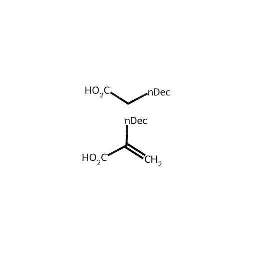 C=C(CCCCCCCCCC)C(=O)O.CCCCCCCCCCCC(=O)O